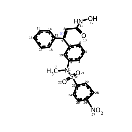 CN(c1cccc(/C(=C\C(=O)NO)c2ccccc2)c1)S(=O)(=O)c1ccc([N+](=O)[O-])cc1